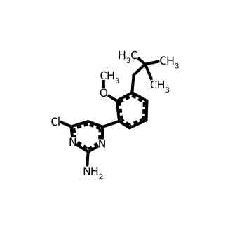 COc1c(CC(C)(C)C)cccc1-c1cc(Cl)nc(N)n1